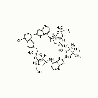 CC1(C)O[C@@H]2[C@@H](CO)C[C@@H](Nc3ccnc4cc(-c5ccc(Cl)c6ccc(CC7(C)O[C@@H]8[C@@H](CO)C[C@@H](Nc9ccnc%10cc(B%11OC(C)(C)C(C)(C)O%11)nn9%10)[C@@H]8O7)cc56)nn34)[C@@H]2O1